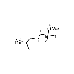 [CH2]C(=O)[C@@H](C)CCCC(C)(C)OC